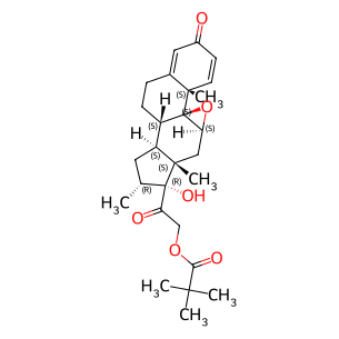 C[C@@H]1C[C@H]2[C@@H]3CCC4=CC(=O)C=C[C@]4(C)[C@@]34O[C@H]4C[C@]2(C)[C@@]1(O)C(=O)COC(=O)C(C)(C)C